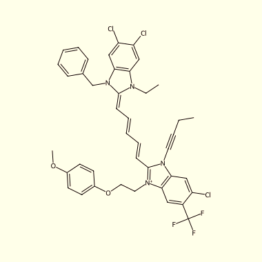 CCC#Cn1c(/C=C/C=C/C=C2\N(CC)c3cc(Cl)c(Cl)cc3N2Cc2ccccc2)[n+](CCOc2ccc(OC)cc2)c2cc(C(F)(F)F)c(Cl)cc21